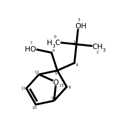 CC(C)(O)CC1(CO)CC2C=CC1O2